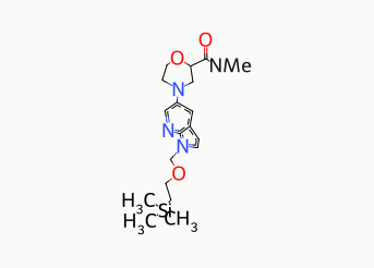 CNC(=O)C1CN(c2cnc3c(ccn3COCC[Si](C)(C)C)c2)CCO1